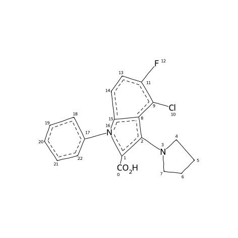 O=C(O)c1c(N2CCCC2)c2c(Cl)c(F)ccc2n1-c1ccccc1